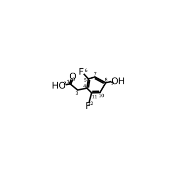 O=C(O)Cc1c(F)cc(O)cc1F